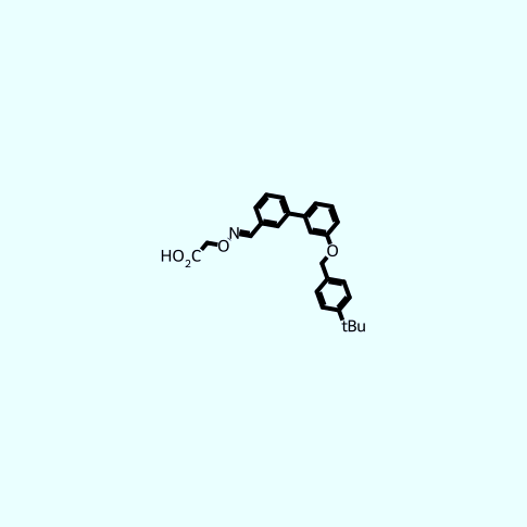 CC(C)(C)c1ccc(COc2cccc(-c3cccc(C=NOCC(=O)O)c3)c2)cc1